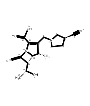 C[C@H]1C(CN2CC[C@H](C#N)C2)=C(C(=O)O)N2C(=O)[C@@H]([C@@H](C)O)C12